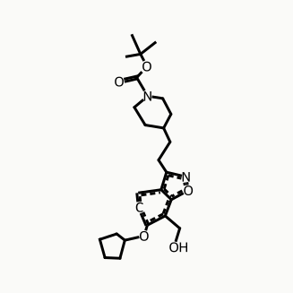 CC(C)(C)OC(=O)N1CCC(CCc2noc3c(CO)c(OC4CCCC4)ccc23)CC1